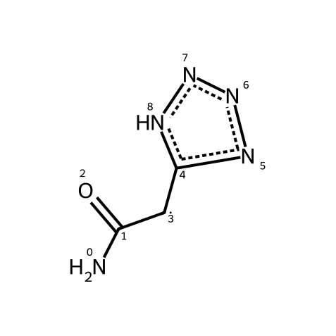 NC(=O)[CH]c1nnn[nH]1